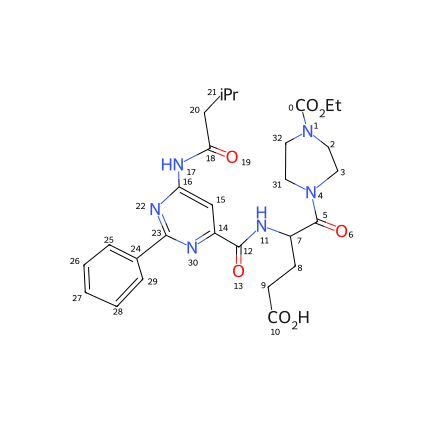 CCOC(=O)N1CCN(C(=O)C(CCC(=O)O)NC(=O)c2cc(NC(=O)CC(C)C)nc(-c3ccccc3)n2)CC1